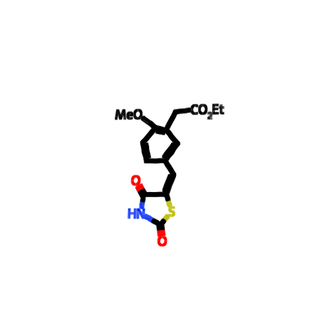 CCOC(=O)Cc1cc(C=C2SC(=O)NC2=O)ccc1OC